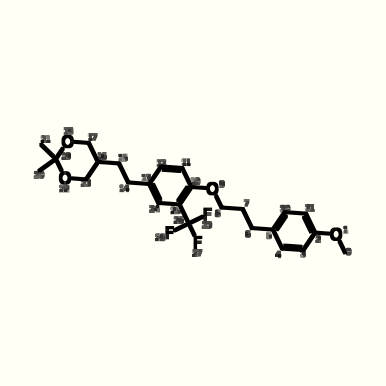 COc1ccc(CCCOc2ccc(CCC3COC(C)(C)OC3)cc2C(F)(F)F)cc1